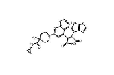 NC1(C(=O)NC2CC2)CCN(c2nc(C3=C(c4c[nH]c5sccc45)C(=O)NC3=O)c3ccccc3n2)CC1